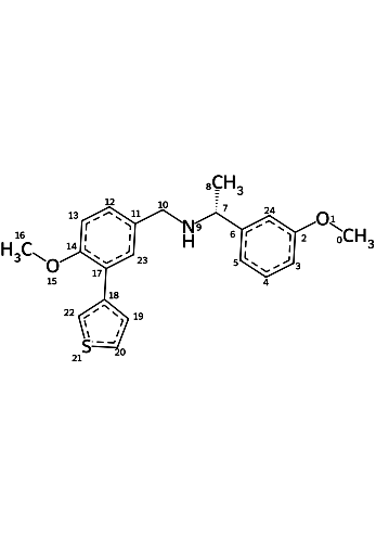 COc1cccc([C@@H](C)NCc2ccc(OC)c(-c3ccsc3)c2)c1